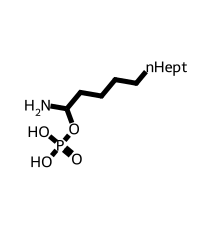 CCCCCCCCCCCC(N)OP(=O)(O)O